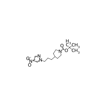 CC(C)(C)OC(=O)N1CCC(CCCn2cc([N+](=O)[O-])cn2)CC1